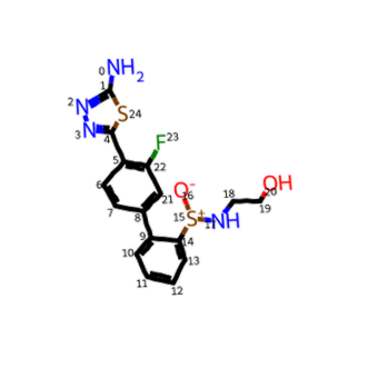 Nc1nnc(-c2ccc(-c3ccccc3[S+]([O-])NCCO)cc2F)s1